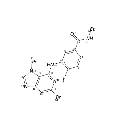 CCNC(=O)c1ccc(F)c(Nc2nc(Br)cc3ncn(C(C)C)c23)c1